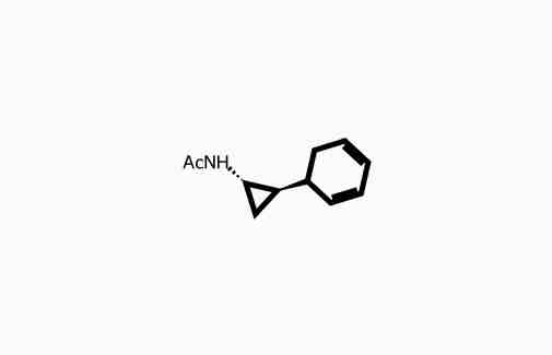 CC(=O)N[C@H]1C[C@@H]1C1C=CC=CC1